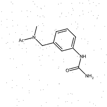 CC(=O)N(C)Cc1cccc(NC(N)=O)c1